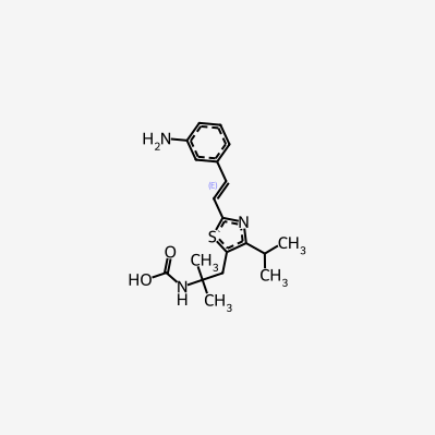 CC(C)c1nc(/C=C/c2cccc(N)c2)sc1CC(C)(C)NC(=O)O